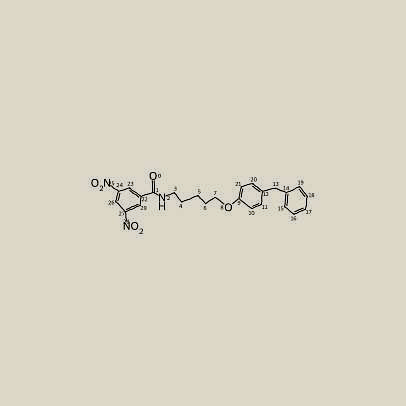 O=C(NCCCCCOc1ccc(Cc2ccccc2)cc1)c1cc([N+](=O)[O-])cc([N+](=O)[O-])c1